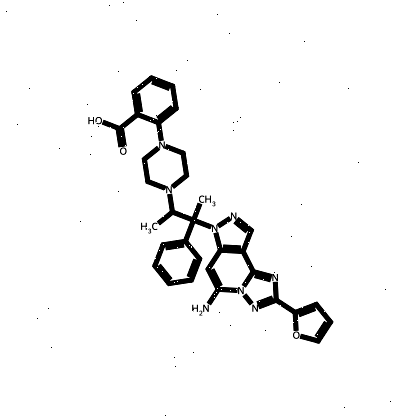 CC(N1CCN(c2ccccc2C(=O)O)CC1)C(C)(c1ccccc1)n1ncc2c1cc(N)n1nc(-c3ccco3)nc21